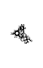 CCC1(CC)COC(CCn2ccnc2)(Cc2cc(C)cc(C)c2)OC1